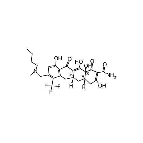 CCCCN(C)Cc1cc(O)c2c(c1C(F)(F)F)C[C@H]1C[C@H]3CC(O)=C(C(N)=O)C(=O)[C@@]3(O)C(O)=C1C2=O